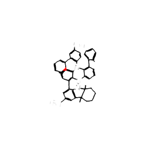 Cc1cc2c3c(c1)N(c1ccc(C(C)(C)C)cc1-c1ccccc1)c1c(ccc4oc5ccccc5c14)B3N1c3c-2cc(C(C)(C)C)cc3C2(C)CCCCC12C